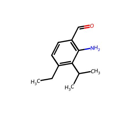 CCc1ccc(C=O)c(N)c1C(C)C